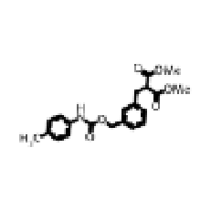 COC(=O)C(Cc1cccc(COC(=O)Nc2ccc(C)cc2)c1)C(=O)OC